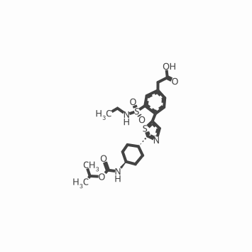 CCNS(=O)(=O)c1cc(CC(=O)O)ccc1-c1cnc([C@H]2CC[C@H](NC(=O)OC(C)C)CC2)s1